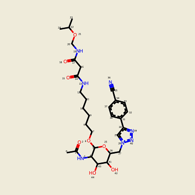 CC(=O)NC1C(OCCCCCCNC(=O)CC(=O)NCOC(C)C)OC(Cn2cc(-c3ccc(C#N)cc3)nn2)C(O)C1O